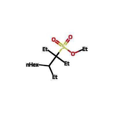 CCCCCCC(CC)C(CC)(CC)S(=O)(=O)OCC